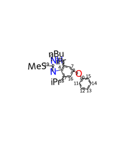 CCCCNC(=Nc1c(C(C)C)cc(Oc2ccccc2)cc1C(C)C)SC